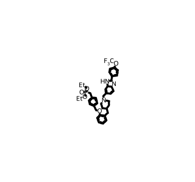 CCOP(=O)(Cc1ccc(COc2ccccc2CC2CCN(CC3=CC4NC(c5ccc(OC(F)(F)F)cc5)=NC4C=C3)CC2)cc1)OCC